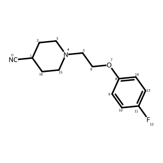 N#CC1CCN(CCOc2ccc(F)cc2)CC1